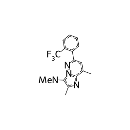 CNc1c(C)nc2c(C)cc(-c3ccccc3C(F)(F)F)nn12